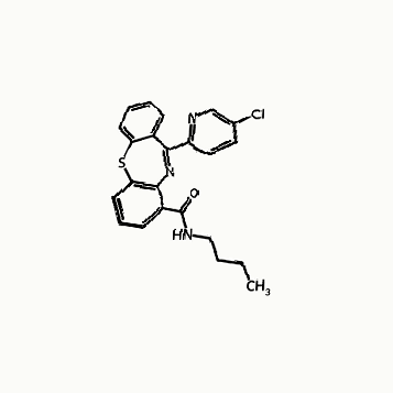 CCCCNC(=O)c1cccc2c1N=C(c1ccc(Cl)cn1)c1ccccc1S2